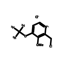 [2H]C([2H])([2H])OC1=CC=[N+]C(CCl)=C1OC.[Cl-]